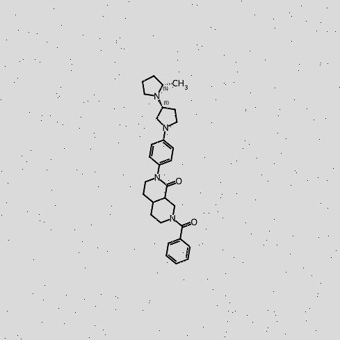 C[C@H]1CCCN1[C@H]1CCN(c2ccc(N3CCC4CCN(C(=O)c5ccccc5)CC4C3=O)cc2)C1